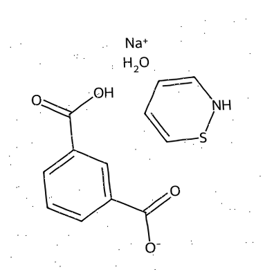 C1=CNSC=C1.O.O=C([O-])c1cccc(C(=O)O)c1.[Na+]